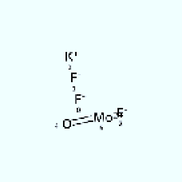 [F-].[F-].[F-].[K+].[O]=[Mo+2]